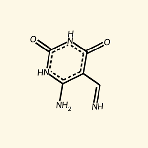 N=Cc1c(N)[nH]c(=O)[nH]c1=O